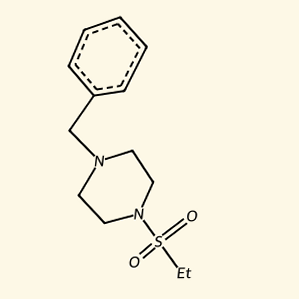 CCS(=O)(=O)N1CCN(Cc2ccccc2)CC1